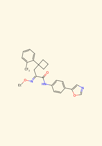 CCO/N=C(\CC1(c2ccccc2C(F)(F)F)CCC1)C(=O)Nc1ccc(-c2cnco2)cc1